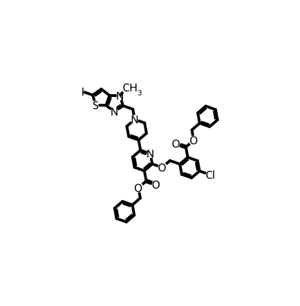 Cn1c(CN2CC=C(c3ccc(C(=O)OCc4ccccc4)c(OCc4ccc(Cl)cc4C(=O)OCc4ccccc4)n3)CC2)nc2sc(I)cc21